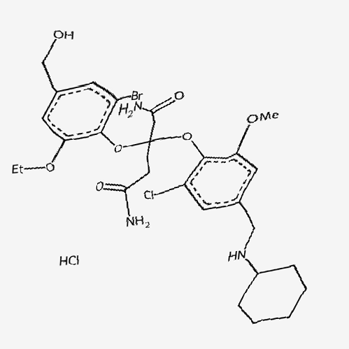 CCOc1cc(CO)cc(Br)c1OC(CC(N)=O)(Oc1c(Cl)cc(CNC2CCCCC2)cc1OC)C(N)=O.Cl